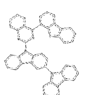 c1ccc2c(-c3cccc4c3sc3ccccc34)nc(-n3c4ccccc4c4cc(-n5c6ccccc6c6ccccc65)ccc43)nc2c1